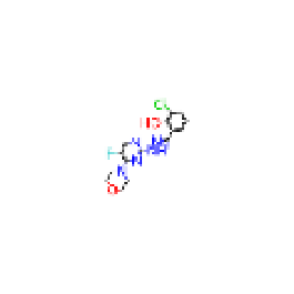 Oc1c(Cl)cccc1/C=N/Nc1ncc(F)c(N2CCOCC2)n1